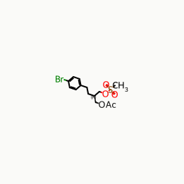 CC(=O)OC[C@@H](CCc1ccc(Br)cc1)COS(C)(=O)=O